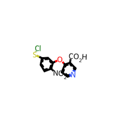 O=C(O)c1cnccc1Oc1cc(SCl)ccc1[N+](=O)[O-]